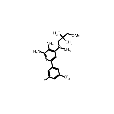 COCC(C)(C)CN(C)c1cc(-c2cc(F)cc(C(F)(F)F)c2)nc(N)c1N